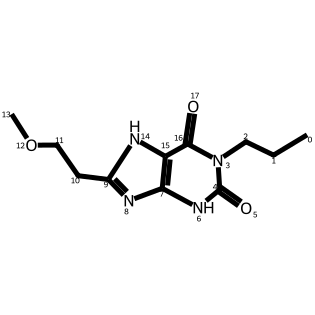 CCCn1c(=O)[nH]c2nc(CCOC)[nH]c2c1=O